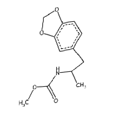 COC(=O)NC(C)Cc1ccc2c(c1)OCO2